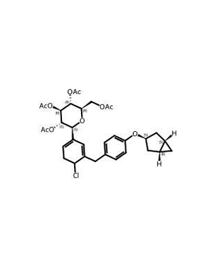 CC(=O)OC[C@H]1O[C@@H](C2=CCC(Cl)C(Cc3ccc(O[C@H]4C[C@@H]5C[C@@H]5C4)cc3)=C2)[C@H](OC(C)=O)[C@@H](OC(C)=O)[C@@H]1OC(C)=O